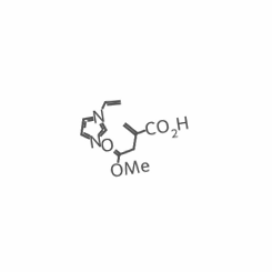 C=C(CC(=O)OC)C(=O)O.C=Cn1ccnc1